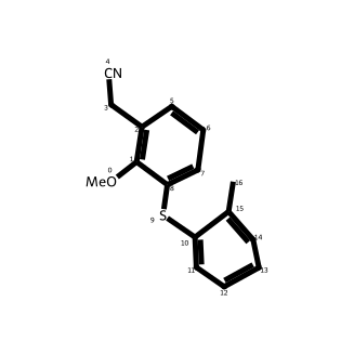 COc1c(CC#N)cccc1Sc1ccccc1C